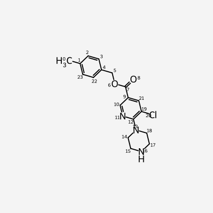 Cc1ccc(COC(=O)c2cnc(N3CCNCC3)c(Cl)c2)cc1